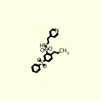 CCCc1ccc(S(=O)(=O)c2ccccc2)cc1S(=O)(=O)NCCc1ccncc1